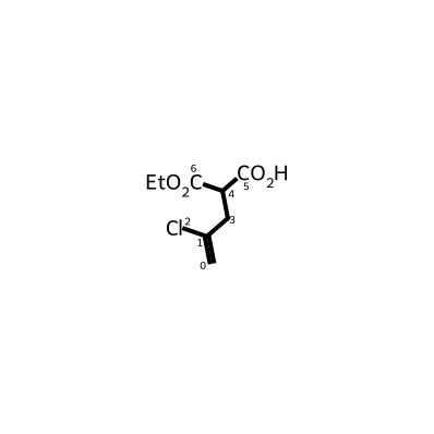 C=C(Cl)CC(C(=O)O)C(=O)OCC